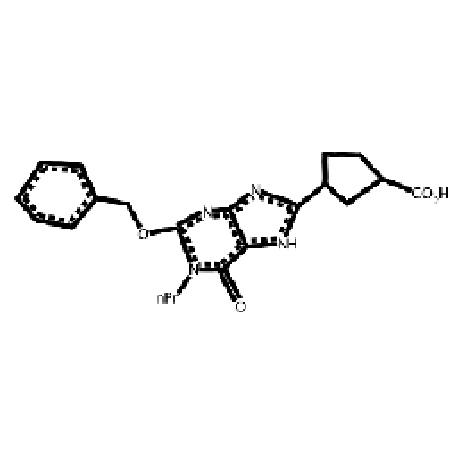 CCCn1c(OCc2ccccc2)nc2nc(C3CCC(C(=O)O)C3)[nH]c2c1=O